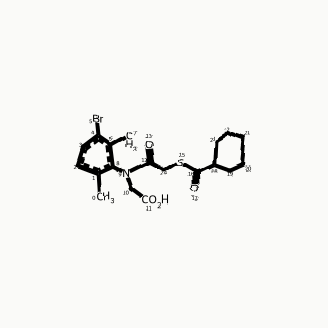 Cc1ccc(Br)c(C)c1N(CC(=O)O)C(=O)CSC(=O)C1CCCCC1